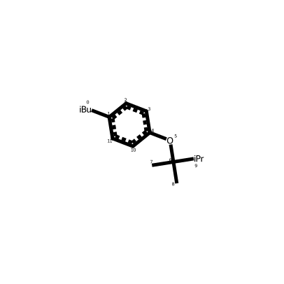 CCC(C)c1ccc(OC(C)(C)C(C)C)cc1